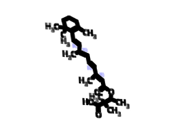 CC1=C(/C=C/C(C)=C/C=C/C(C)=C/C(=O)OC(C)C(C)(C)C(=O)O)C(C)(C)CCC1